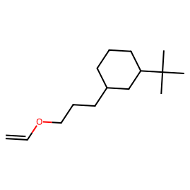 C=COCCCC1CCCC(C(C)(C)C)C1